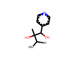 CCCCC(C(C)C)C(C)(O)C(O)c1ccncc1